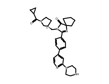 O=C(C1CC1)N1CC[C@@H](CN2C(=O)C3(CCCC3)N=C2c2ccc(-c3ccnc(N4CCNCC4)c3)cc2)C1